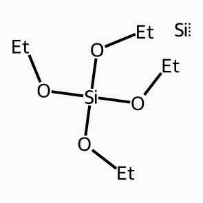 CCO[Si](OCC)(OCC)OCC.[Si]